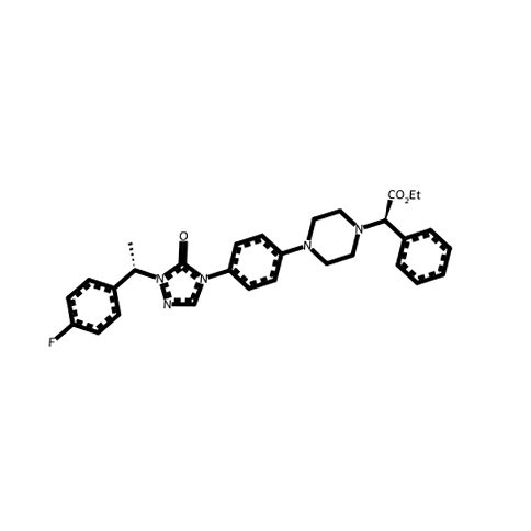 CCOC(=O)[C@@H](c1ccccc1)N1CCN(c2ccc(-n3cnn([C@@H](C)c4ccc(F)cc4)c3=O)cc2)CC1